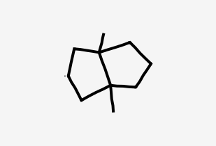 CC12C[CH]CC1(C)CCC2